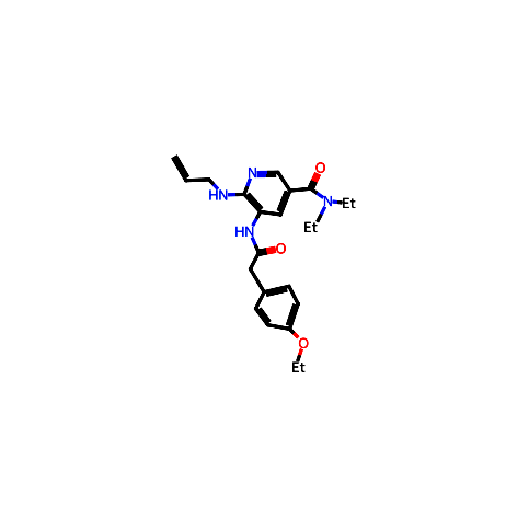 C=CCNc1ncc(C(=O)N(CC)CC)cc1NC(=O)Cc1ccc(OCC)cc1